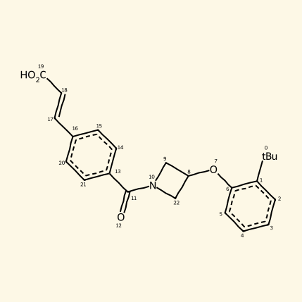 CC(C)(C)c1ccccc1OC1CN(C(=O)c2ccc(C=CC(=O)O)cc2)C1